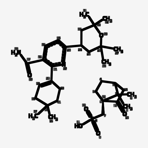 CC1(C)C2CC[C@@]1(CS(=O)(=O)O)C(=O)C2.CC1(C)CC=C(c2nc(C3CC(C)(C)OC(C)(C)C3)ccc2C(N)=O)CC1